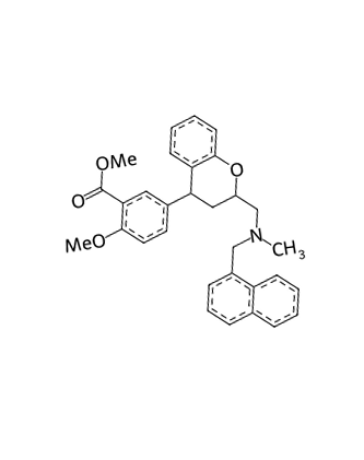 COC(=O)c1cc(C2CC(CN(C)Cc3cccc4ccccc34)Oc3ccccc32)ccc1OC